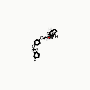 CS(=O)(=O)N1[C@@H]2CC[C@H]1C[C@@H](NCCOc1ccc(Oc3nc4cc(F)ccc4s3)cc1)C2